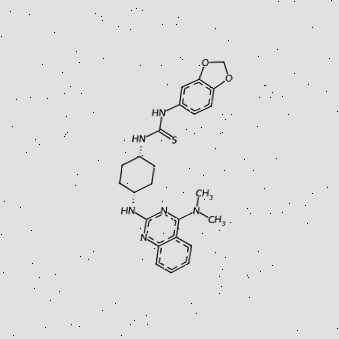 CN(C)c1nc(N[C@H]2CC[C@@H](NC(=S)Nc3ccc4c(c3)OCO4)CC2)nc2ccccc12